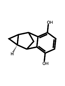 Oc1ccc(O)c2c1C1CC2[C@H]2CC12